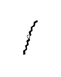 C=CCCCC=COC=CCCCC=C